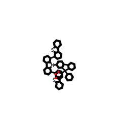 c1ccc(C2(c3ccccc3)c3ccccc3-c3ccc(-n4c5c(-c6cccc7c6sc6ccccc67)cccc5c5cccc(-c6cccc7c6sc6ccccc67)c54)cc32)cc1